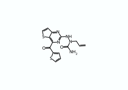 C=CCN(Nc1nc(C(=O)c2cccs2)c2sccc2n1)C(N)=O